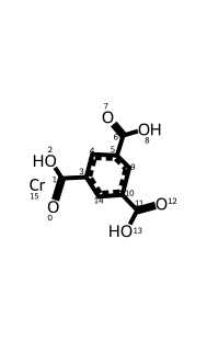 O=C(O)c1cc(C(=O)O)cc(C(=O)O)c1.[Cr]